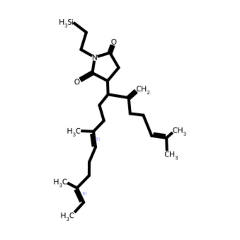 C=C(CCC=C(C)C)C(CC/C(C)=C/CC/C(C)=C/C)C1CC(=O)N(CC[SiH3])C1=O